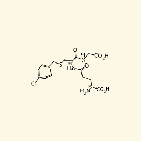 N[C@@H](CCC(=O)N[C@@H](CSCc1ccc(Cl)cc1)C(=O)NCC(=O)O)C(=O)O